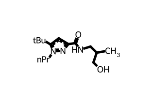 CCCn1nc(C(=O)NCC(C)CO)cc1C(C)(C)C